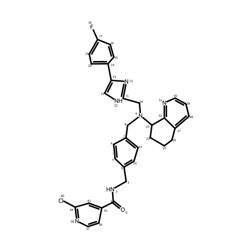 O=C(NCc1ccc(CN(Cc2nc(-c3ccc(F)cc3)c[nH]2)C2CCCc3cccnc32)cc1)c1ccnc(Cl)c1